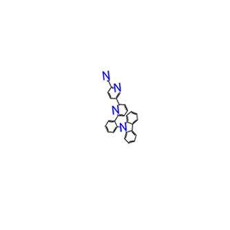 N#Cc1ccc(-c2cccc(-c3ccccc3-n3c4ccccc4c4ccccc43)n2)cn1